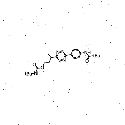 CC(CCOC(=O)NC(C)(C)C)c1nnc(-c2ccc(NC(=O)C(C)(C)C)cc2)nn1